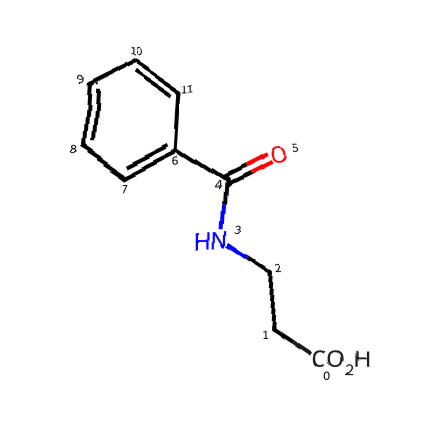 O=C(O)CCNC(=O)c1cc[c]cc1